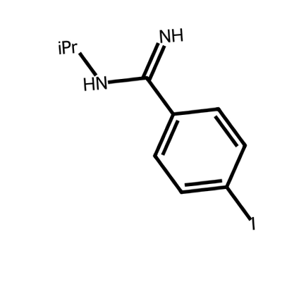 CC(C)NC(=N)c1ccc(I)cc1